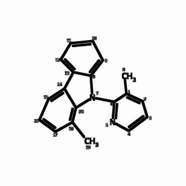 Cc1cccnc1-n1c2ccccc2c2cccc(C)c21